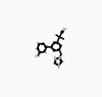 CC(C)(C#N)c1cc(Cn2cncn2)cc(-c2cccc(Cl)c2)c1